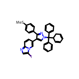 CSc1ccc(-c2nn(C(c3ccccc3)(c3ccccc3)C3C=CC=CC3)cc2-c2ccc3ncc(I)n3c2)cc1